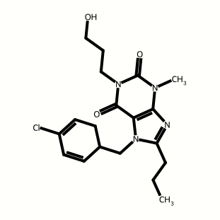 CCCc1nc2c(c(=O)n(CCCO)c(=O)n2C)n1CC1C=CC(Cl)=CC1